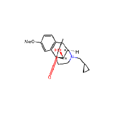 COc1ccc2c(c1)C13CCN(CC4CC4)[C@H](C2)[C@]1(O)CCC(=O)C3